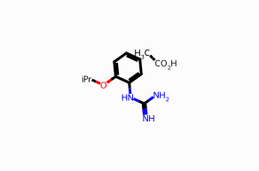 CC(=O)O.CC(C)Oc1ccccc1NC(=N)N